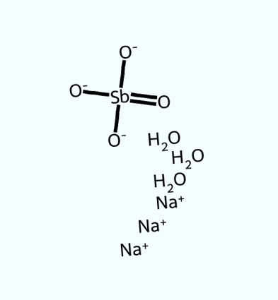 O.O.O.[Na+].[Na+].[Na+].[O]=[Sb]([O-])([O-])[O-]